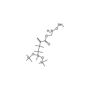 C=C(C(=O)OC[SiH2]O[SiH3])C(C)(C)C(C)(C)[Si](C)(O[Si](C)(C)C)O[Si](C)(C)C